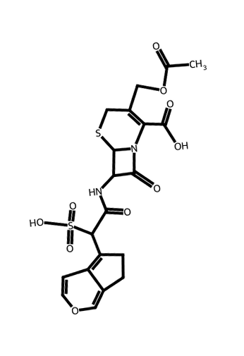 CC(=O)OCC1=C(C(=O)O)N2C(=O)C(NC(=O)C(C3=C4C=COC=C4CC3)S(=O)(=O)O)C2SC1